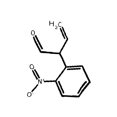 C=CC(C=O)c1ccccc1[N+](=O)[O-]